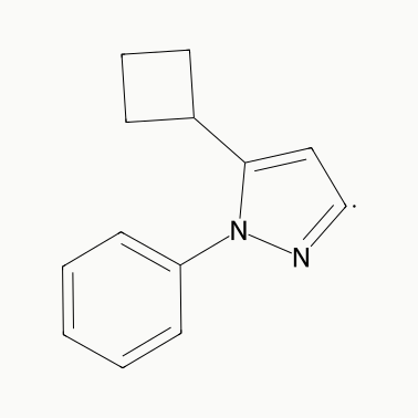 [c]1cc(C2CCC2)n(-c2ccccc2)n1